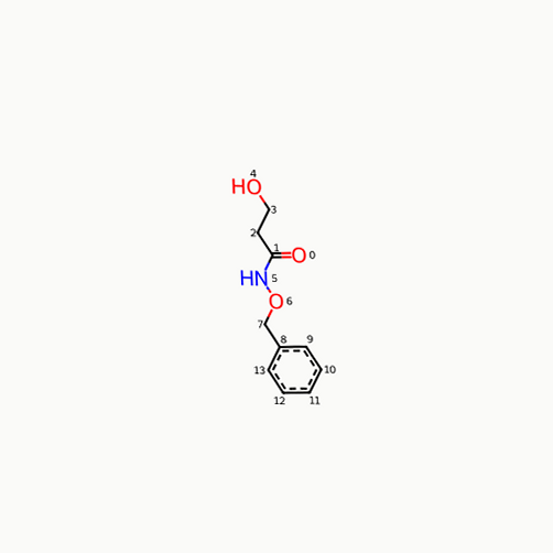 O=C(CCO)NOCc1ccccc1